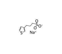 O=S(=O)([O-])CCCc1ccsc1.[Na+]